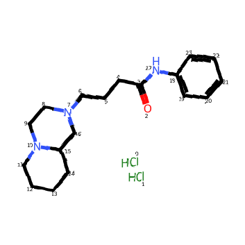 Cl.Cl.O=C(CCCN1CCN2CCCCC2C1)Nc1ccccc1